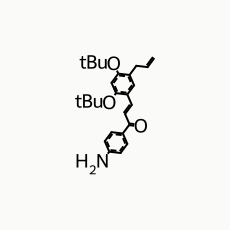 C=CCc1cc(C=CC(=O)c2ccc(N)cc2)c(OC(C)(C)C)cc1OC(C)(C)C